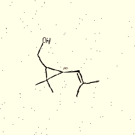 CC(C)=C[C@@H]1C(CO)C1(C)C